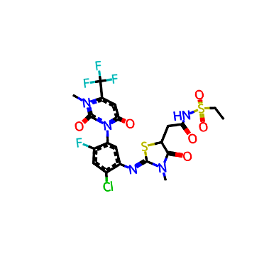 CCS(=O)(=O)NC(=O)CC1S/C(=N\c2cc(-n3c(=O)cc(C(F)(F)F)n(C)c3=O)c(F)cc2Cl)N(C)C1=O